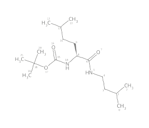 CC(C)CCNC(=O)[C@H](CCC(C)C)NC(=O)OC(C)(C)C